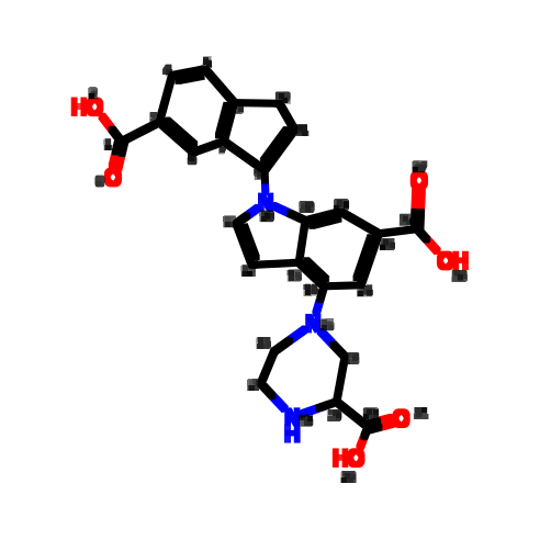 O=C(O)c1ccc2c(c1)C(n1ccc3c(N4CCNC(C(=O)O)C4)cc(C(=O)O)cc31)=CC2